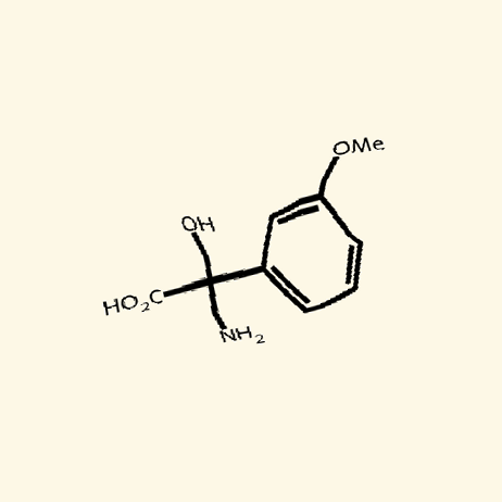 COc1cccc(C(N)(O)C(=O)O)c1